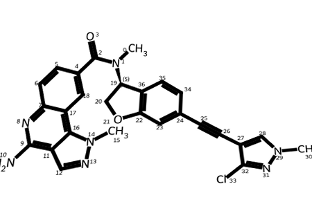 CN(C(=O)c1ccc2nc(N)c3cnn(C)c3c2c1)[C@@H]1COc2cc(C#Cc3cn(C)nc3Cl)ccc21